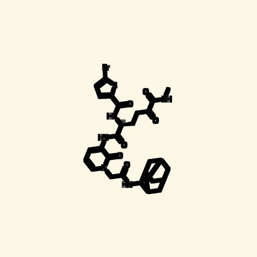 CNC(=O)C(=O)CC[C@H](NC(=O)c1ccc(Br)s1)C(=O)Nc1cccn(CC(=O)NC2C3CC4CC(C3)CC2C4)c1=O